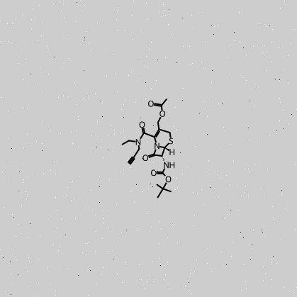 C#CCN(CC)C(=O)C1=C(COC(C)=O)CS[C@@H]2[C@H](NC(=O)OC(C)(C)C)C(=O)N12